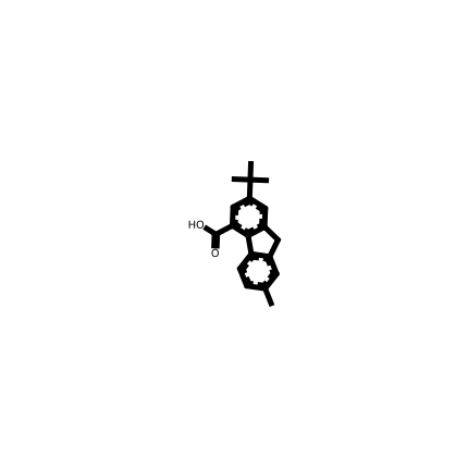 Cc1ccc2c(c1)Cc1cc(C(C)(C)C)cc(C(=O)O)c1-2